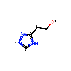 [O]CCc1nnc[nH]1